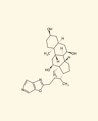 CC(CCc1nc2ccncc2o1)[C@H]1CC[C@H]2[C@@H]3[C@H](O)C[C@@H]4C[C@H](O)CC[C@]4(C)[C@H]3C[C@H](O)[C@]12C